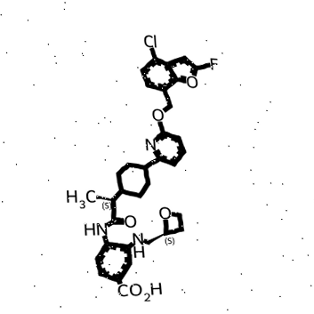 C[C@H](C(=O)Nc1ccc(C(=O)O)cc1NC[C@@H]1CCO1)C1CCC(c2cccc(OCc3ccc(Cl)c4cc(F)oc34)n2)CC1